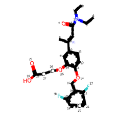 CCN(CC)C(=O)/C=C(\C)c1ccc(OCc2c(F)cccc2F)c(OCCC(=O)O)c1